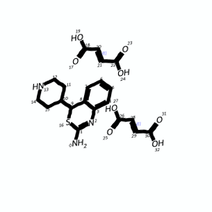 NC1=Nc2ccccc2C(C2CCNCC2)S1.O=C(O)/C=C/C(=O)O.O=C(O)/C=C/C(=O)O